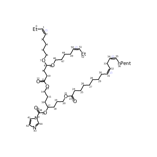 CC/C=C\CCCCOC(CCC(=O)OCCCC(CCCOC(=O)CCCCCCC/C=C\C/C=C\CCCCC)OC(=O)n1ccnc1)OCCCC/C=C\CC